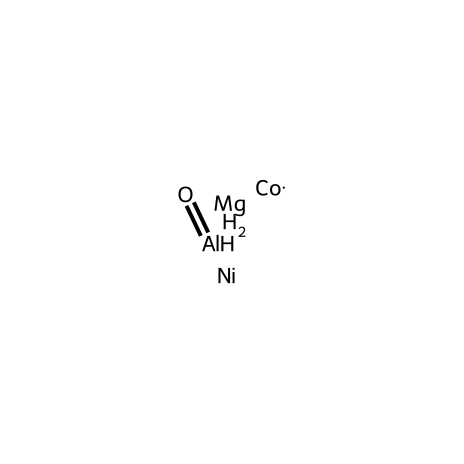 [Co].[MgH2].[Ni].[O]=[AlH]